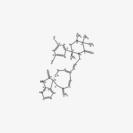 C=C1\C=C/C(/C=C/CN2C(=O)C(C)(C)N(C)C[C@@]2(C)c2cc(F)cc(F)c2)=C\CC[C@@]2(C1)C(=O)Nc1ncccc12